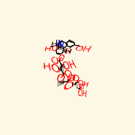 C[C@H](OC(=O)[C@H](O)[C@@H](O)C(=O)OC1=CC[C@@]2(O)[C@H]3Cc4ccc(CO)c5c4[C@@]2(CCN3C)[C@H]1O5)C(=O)O[C@@H](CC(=O)O)C(=O)O